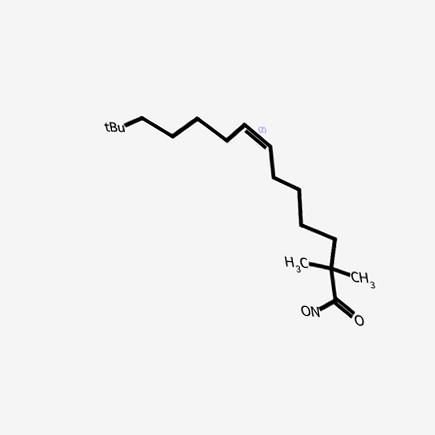 CC(C)(C)CCCC/C=C\CCCCC(C)(C)C(=O)N=O